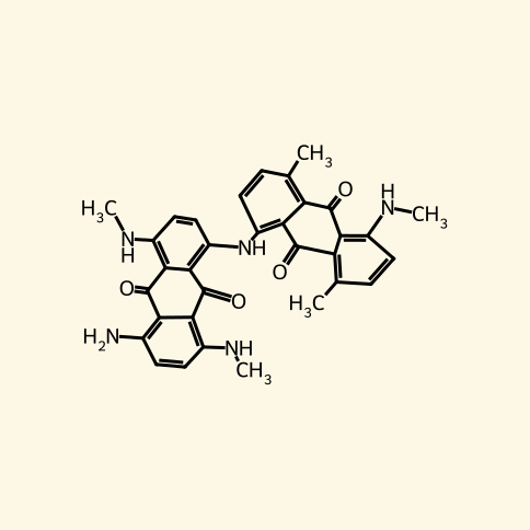 CNc1ccc(C)c2c1C(=O)c1c(C)ccc(Nc3ccc(NC)c4c3C(=O)c3c(NC)ccc(N)c3C4=O)c1C2=O